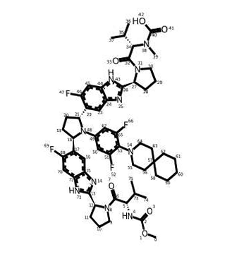 COC(=O)N[C@H](C(=O)N1CCC[C@H]1c1nc2cc([C@H]3CC[C@H](c4cc5nc([C@@H]6CCCN6C(=O)[C@H](C(C)C)N(C)C(=O)O)[nH]c5cc4F)N3c3cc(F)c(N4CCC5(CCCCC5)CC4)c(F)c3)c(F)cc2[nH]1)C(C)C